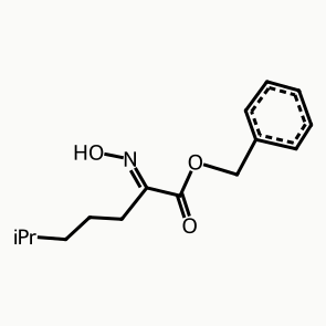 CC(C)CCCC(=NO)C(=O)OCc1ccccc1